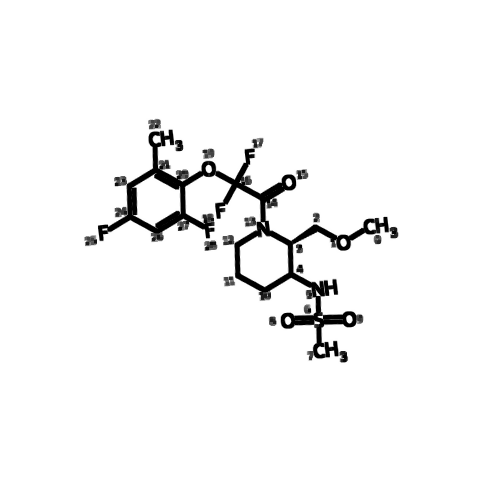 COC[C@H]1C(NS(C)(=O)=O)CCCN1C(=O)C(F)(F)Oc1c(C)cc(F)cc1F